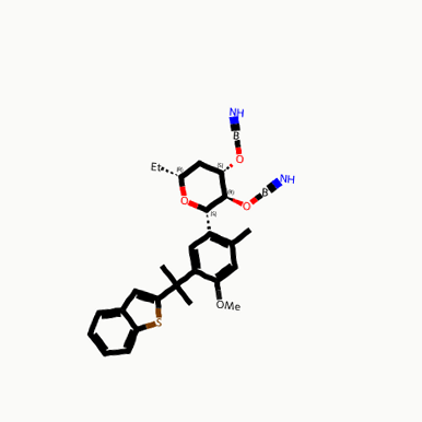 CC[C@@H]1C[C@H](OB=N)[C@@H](OB=N)[C@H](c2cc(C(C)(C)c3cc4ccccc4s3)c(OC)cc2C)O1